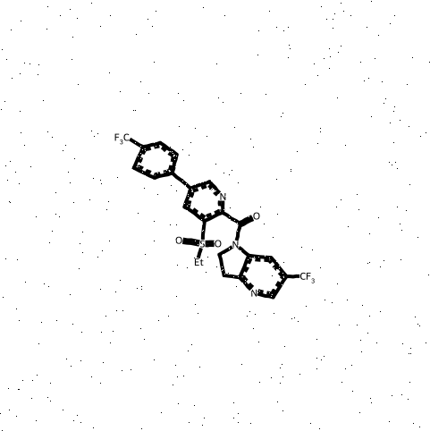 CCS(=O)(=O)c1cc(-c2ccc(C(F)(F)F)cc2)cnc1C(=O)N1CCc2ncc(C(F)(F)F)cc21